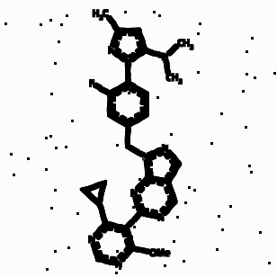 COc1ncnc(C2CC2)c1-c1ncc2cnn(Cc3ccc(-n4nc(C)cc4N(C)C)c(F)c3)c2n1